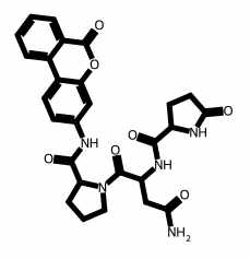 NC(=O)CC(NC(=O)C1CCC(=O)N1)C(=O)N1CCCC1C(=O)Nc1ccc2c(c1)oc(=O)c1ccccc12